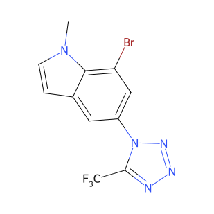 Cn1ccc2cc(-n3nnnc3C(F)(F)F)cc(Br)c21